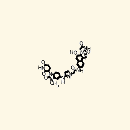 Cn1c(=O)n(C2CCC(=O)NC2=O)c2ccc(Nc3ccn(CC(=O)Nc4ccc5c(F)c(N6CC(=O)NS6(=O)=O)c(O)cc5c4)n3)cc21